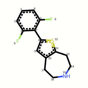 Fc1cccc(F)c1-c1cc2c(s1)CCNCC2